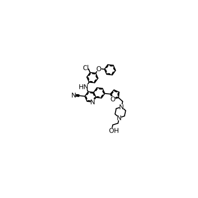 N#Cc1cnc2cc(-c3ccc(CN4CCN(CCO)CC4)o3)ccc2c1Nc1ccc(Oc2ccccc2)c(Cl)c1